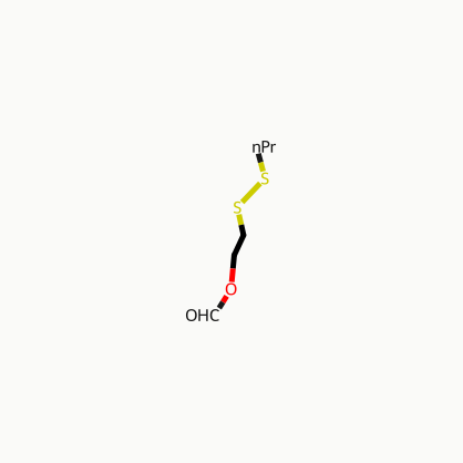 CCCSSCCOC=O